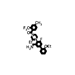 CCOc1ccccc1-c1cc(F)c(N2CCN(C(=O)c3ccc(C)cc3C(F)(F)F)C[C@H]2CC)c(CN)c1